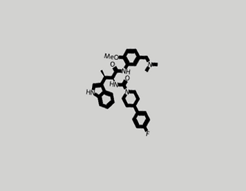 COc1ccc(CN(C)C)cc1NC(=O)[C@H](NC(=O)N1CCC(c2ccc(F)cc2)CC1)[C@H](C)c1c[nH]c2ccccc12